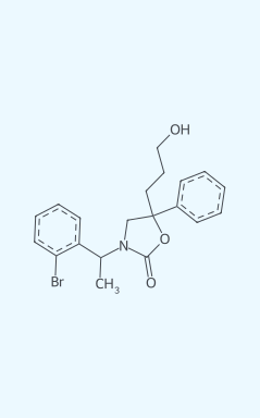 CC(c1ccccc1Br)N1CC(CCCO)(c2ccccc2)OC1=O